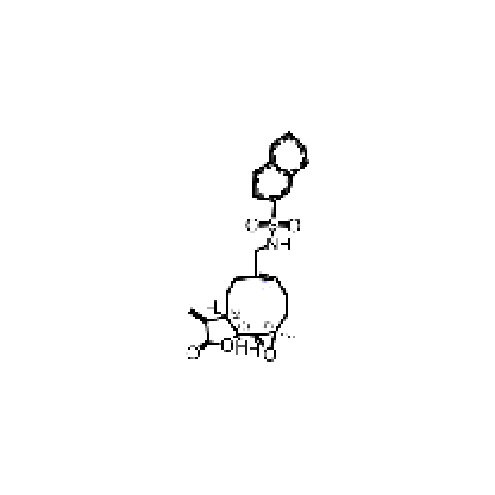 C=C1C(=O)O[C@H]2[C@H]1CC/C(CNS(=O)(=O)c1ccc3ccccc3c1)=C\CC[C@@]1(C)O[C@@H]21